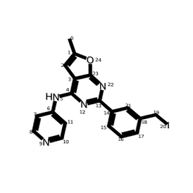 Cc1cc2c(Nc3ccncc3)nc(-c3cccc(CI)c3)nc2o1